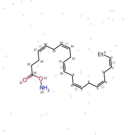 CC/C=C\C/C=C\C/C=C\C/C=C\C/C=C\C/C=C\CCC(=O)ON